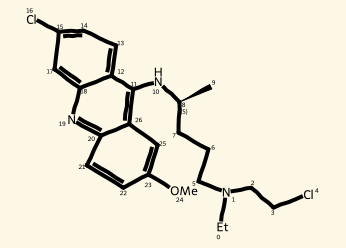 CCN(CCCl)CCC[C@H](C)Nc1c2ccc(Cl)cc2nc2ccc(OC)cc12